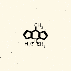 CC1C2=[C](CC=C2)[Ti]([CH3])([CH3])[C]2=C1C=CC2